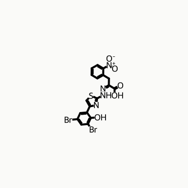 O=C(O)C(Cc1ccccc1[N+](=O)[O-])=NNc1nc(-c2cc(Br)cc(Br)c2O)cs1